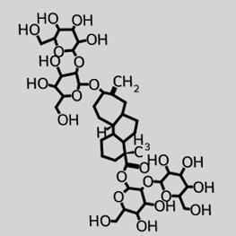 C=C1CC2CCC3C(CCC[C@@]3(C)C(=O)OC3OC(CO)C(O)C(O)C3OC3OC(CO)C(O)C(O)C3O)[C@@H]2CCC1OC1OC(CO)C(O)C(O)C1OC1OC(CO)C(O)C(O)C1O